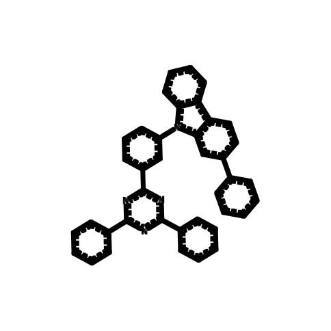 c1ccc(-c2ccc3c4ccccc4n(-c4cccc(-c5nc(-c6ccccc6)nc(-c6ccccc6)n5)c4)c3c2)cc1